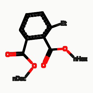 CCCCCCCCCCOC(=O)c1cccc(CC)c1C(=O)OCCCCCC